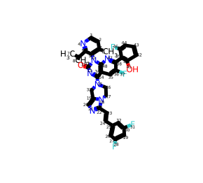 Cc1ccnc(C(C)C)c1-n1c(=O)nc(N2CCn3c(cnc3/C=C/c3cc(F)cc(F)c3)C2)c2cc(F)c(-c3c(O)cccc3F)nc21